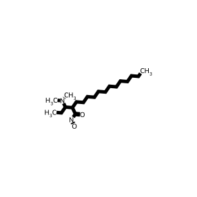 CCCCCCCCCCCCCC(C(=O)N=O)C(CC)N(C)C